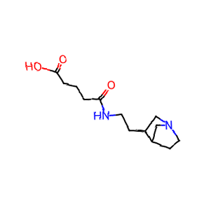 O=C(O)CCCC(=O)NCCC1CN2CCC1C2